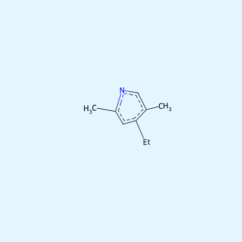 CCc1cc(C)ncc1C